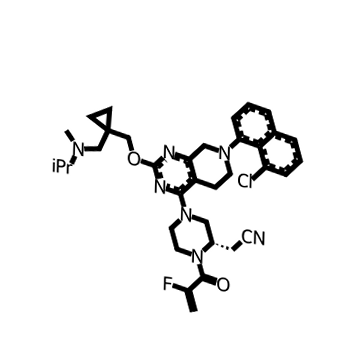 C=C(F)C(=O)N1CCN(c2nc(OCC3(CN(C)C(C)C)CC3)nc3c2CCN(c2cccc4cccc(Cl)c24)C3)C[C@@H]1CC#N